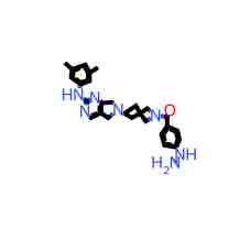 Cc1cc(C)cc(Nc2ncc3c(n2)CN(C2CC4(C2)CN(C(=O)c2ccc(NN)cc2)C4)C3)c1